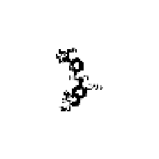 COc1cc2c(cc1C(=O)Nc1cccc(-c3nnnn3C(C)C)n1)S(=O)(=O)N(C(C)(C)C)C2